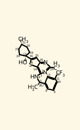 Cc1nc(N[C@H](C)c2cccc(C(F)(F)F)c2)c2sc([C@]3(O)CC[C@@H](C)CC3)cc2n1